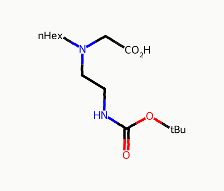 CCCCCCN(CCNC(=O)OC(C)(C)C)CC(=O)O